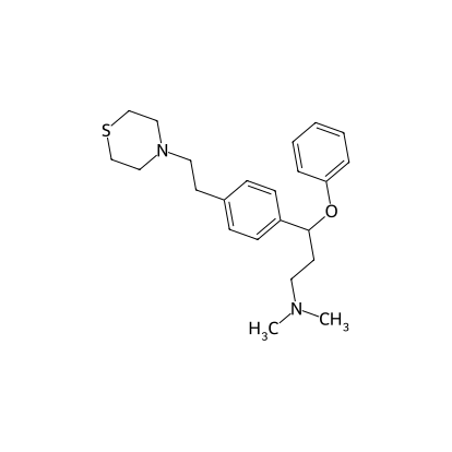 CN(C)CCC(Oc1ccccc1)c1ccc(CCN2CCSCC2)cc1